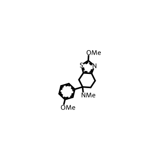 CNC1(c2cccc(OC)c2)CCc2nc(OC)sc2C1